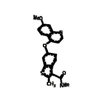 CNC(=O)c1c(C)sc2cc(Oc3ccnc4cc(OC)ccc34)ccc12